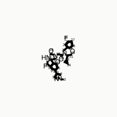 Cn1cc(-c2ccc3c(c2)C(F)C[C@@]32NC(=O)N(CC(=O)N3Cc4cc(F)ccc4OCC3C3CC3)C2=O)cn1